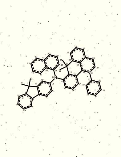 CC1(C)c2ccccc2-c2ccc(N(c3cccc4c3C(C)(C)c3cccc5ccc(-c6ccccc6)c-4c35)c3cccc4ccccc34)cc21